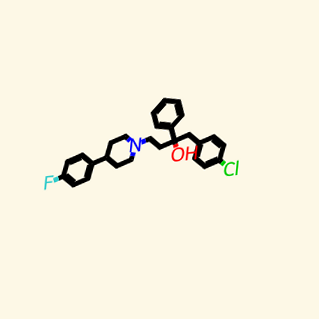 OC(CCN1CCC(c2ccc(F)cc2)CC1)(Cc1ccc(Cl)cc1)c1ccccc1